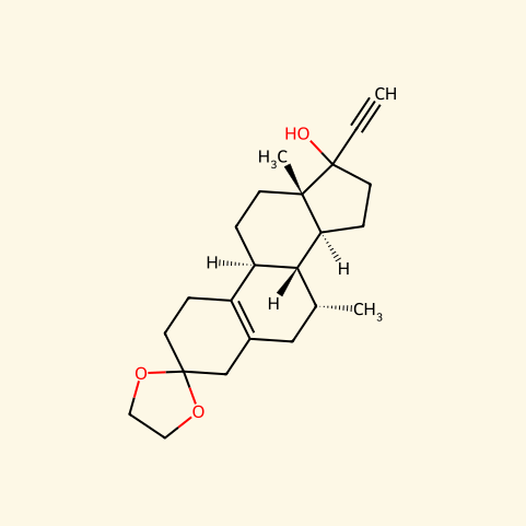 C#CC1(O)CC[C@H]2[C@@H]3[C@H](C)CC4=C(CCC5(C4)OCCO5)[C@H]3CC[C@@]21C